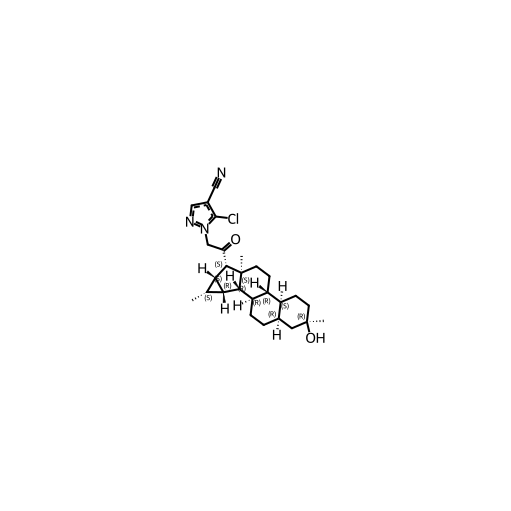 C[C@H]1[C@@H]2[C@H]1[C@H](C(=O)Cn1ncc(C#N)c1Cl)[C@@]1(C)CC[C@H]3[C@@H](CC[C@@H]4C[C@](C)(O)CC[C@@H]43)[C@H]21